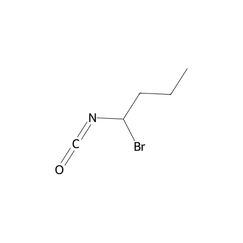 CCCC(Br)N=C=O